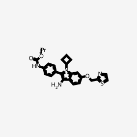 CC(C)OC(=O)Nc1ccc(-c2c(N)c3ccc(OCc4nccs4)cc3n2C2CCC2)cc1